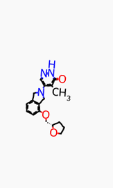 Cc1c(N2Cc3cccc(OC[C@@H]4CCCO4)c3C2)cn[nH]c1=O